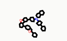 C1CCC(C2CCC(N(C3CCC(C4CCC5OC6CCCC(C7CCC8CC(C9CCCCC9)OC8C7)C6C5C4)CC3)C3CCC4CCCCC4C3)CC2)CC1